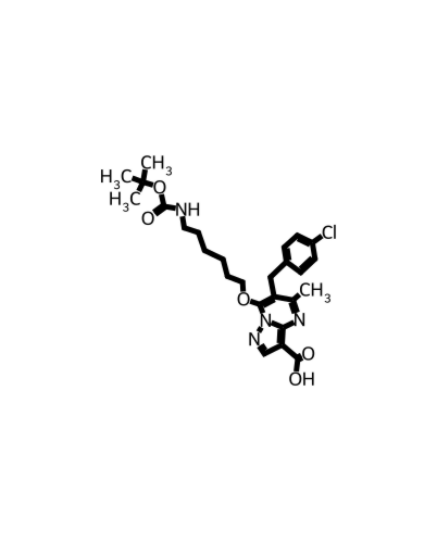 Cc1nc2c(C(=O)O)cnn2c(OCCCCCCNC(=O)OC(C)(C)C)c1Cc1ccc(Cl)cc1